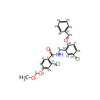 COCOc1ccc(C(=O)NCc2cc(Cl)ccc2OCc2ccccc2)c(Cl)c1